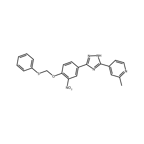 Cc1cc(-c2nc(-c3ccc(OCSc4ccccc4)c([N+](=O)[O-])c3)n[nH]2)ccn1